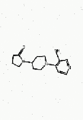 Nc1cnccc1N1CCC(N2CCCC2=O)CC1